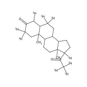 [2H]C1C(=O)C([2H])([2H])CC2(C)C3CCC4(C)C(CCC4([2H])C(=O)C([2H])([2H])[2H])C3CC([2H])([2H])C12